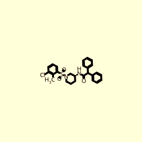 Cc1c(Cl)cccc1S(=O)(=O)N1CCC[C@H](NC(=O)C(c2ccccc2)c2ccccc2)C1